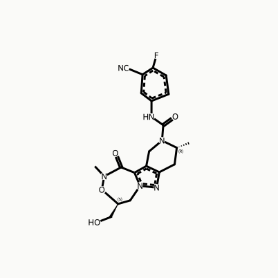 C[C@@H]1Cc2nn3c(c2CN1C(=O)Nc1ccc(F)c(C#N)c1)C(=O)N(C)O[C@H](CO)C3